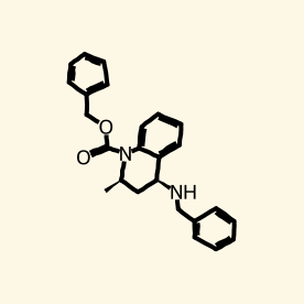 C[C@@H]1C[C@H](NCc2ccccc2)c2ccccc2N1C(=O)OCc1ccccc1